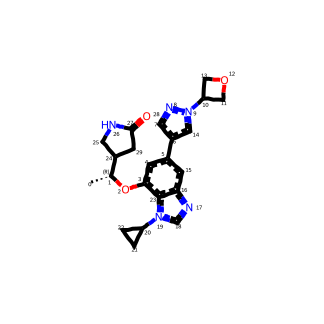 C[C@@H](Oc1cc(-c2cnn(C3COC3)c2)cc2ncn(C3CC3)c12)C1CNC(=O)C1